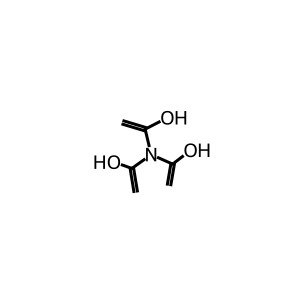 C=C(O)N(C(=C)O)C(=C)O